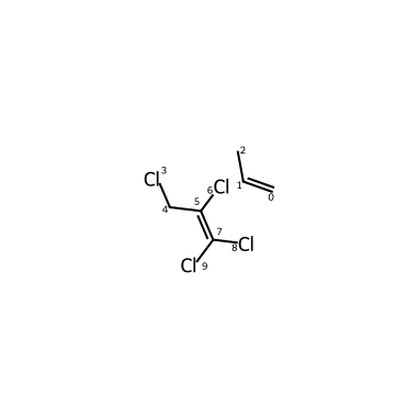 C=CC.ClCC(Cl)=C(Cl)Cl